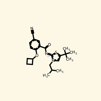 CC(C)Cn1cc(C(C)(C)C)s/c1=N\C(=O)c1cc(C#N)ccc1OC1CCC1